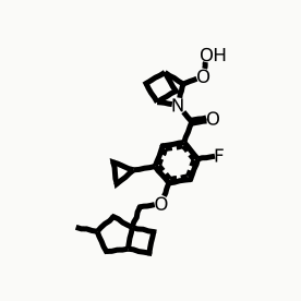 CC1CC2CCC2(COc2cc(F)c(C(=O)N3C4CC(C4)C3OO)cc2C2CC2)C1